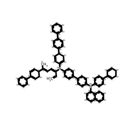 C=C/C(=C\C=C(/C)C1C=CC(c2ccccc2)=CC1)N(C1=CCC(c2ccc(-c3ccccc3)cc2)C=C1)c1ccc(-c2ccc(N(c3ccc(C4=CCCC=C4)cc3)c3cccc4ccccc34)cc2)cc1